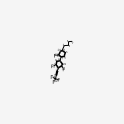 CCCCc1ccc(-c2cc(F)c(C#CC(F)(F)F)c(F)c2)c(F)c1